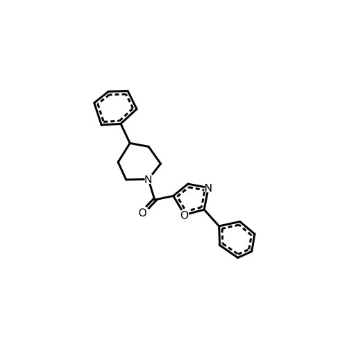 O=C(c1cnc(-c2ccccc2)o1)N1CCC(c2ccccc2)CC1